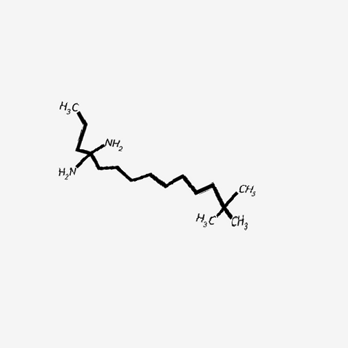 CCCC(N)(N)CCCCCCCCC(C)(C)C